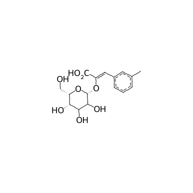 Cc1cccc(/C=C(\O[C@H]2O[C@@H](CO)[C@@H](O)C(O)C2O)C(=O)O)c1